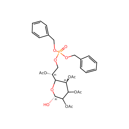 CC(=O)OC1C(OC(C)=O)[C@H](O)OC([C@@H](COP(=O)(OCc2ccccc2)OCc2ccccc2)OC(C)=O)[C@H]1OC(C)=O